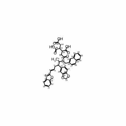 CC(C(C/C=C/c1nc2ccccc2o1)c1ccc2c(c1)OCO2)N(Cc1ccc2ccccc2c1)C(=O)CC(C(=O)O)C(CC(=O)O)C(=O)O